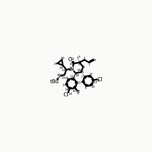 C=CC[C@@]1(C)C[C@H](c2cccc(Cl)c2)[C@@H](c2ccc(Cl)c(F)c2)N(C(CSC(C)(C)C)C2CC2)C1=O